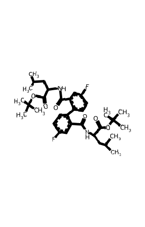 CC(C)CC(NC(=O)c1cc(F)ccc1-c1ccc(F)cc1C(=O)NC(CC(C)C)C(=O)OC(C)(C)C)C(=O)OC(C)(C)C